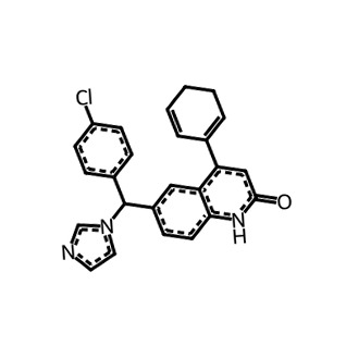 O=c1cc(C2=CCCC=C2)c2cc(C(c3ccc(Cl)cc3)n3ccnc3)ccc2[nH]1